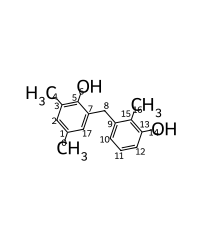 Cc1cc(C)c(O)c(Cc2cccc(O)c2C)c1